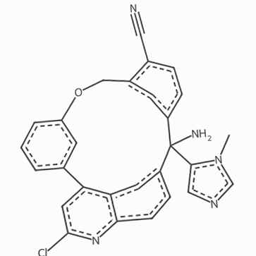 Cn1cncc1C1(N)c2ccc(C#N)c(c2)COc2cccc(c2)-c2cc(Cl)nc3ccc1cc23